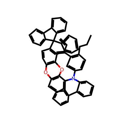 C=CC(=C)c1cc(N(c2ccccc2-c2ccccc2)c2cccc3c2Oc2c(ccc4c2-c2ccccc2C42c4ccccc4-c4ccccc42)O3)ccc1CCC